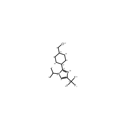 CC(C)n1cc(C(F)(F)F)nc1C1CCC(CCl)CC1